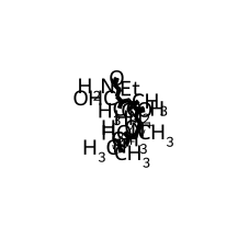 CCC(C(N)=O)C(C=O)C(CC(C)(C)C(=O)NC[N+](C)(C)CC(O)C[N+](C)(C)C)C(=O)O